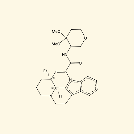 CC[C@@]12C=C(C(=O)NC3COCCC3(OC)OC)n3c4c(c5ccccc53)CCN(CCC1)[C@H]42